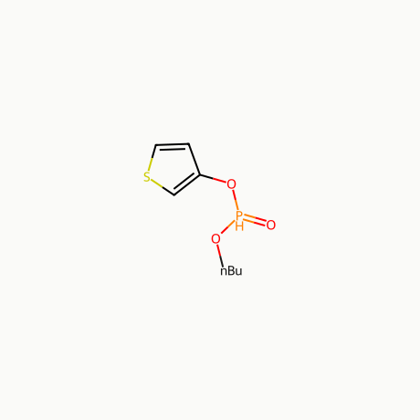 CCCCO[PH](=O)Oc1ccsc1